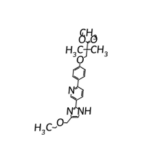 CCOCc1c[nH]c(-c2ccc(-c3ccc(OCC(C)(C)C(=O)OC)cc3)nc2)n1